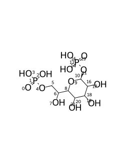 O=P(O)(O)OCC(O)C1O[C@@H](OP(=O)(O)O)C(O)C(O)C1O